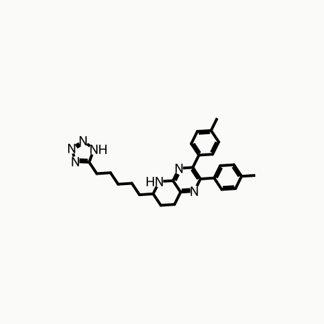 Cc1ccc(-c2nc3c(nc2-c2ccc(C)cc2)NC(CCCCCc2nnn[nH]2)CC3)cc1